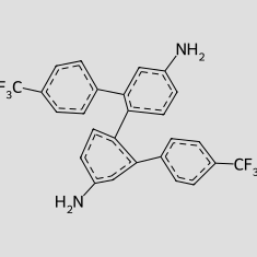 Nc1ccc(-c2ccc(N)cc2-c2ccc(C(F)(F)F)cc2)c(-c2ccc(C(F)(F)F)cc2)c1